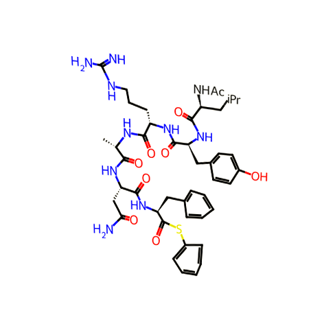 CC(=O)N[C@@H](CC(C)C)C(=O)N[C@@H](Cc1ccc(O)cc1)C(=O)N[C@@H](CCCNC(=N)N)C(=O)N[C@@H](C)C(=O)N[C@@H](CC(N)=O)C(=O)N[C@@H](Cc1ccccc1)C(=O)Sc1ccccc1